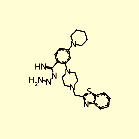 N=C(/N=N\N)c1ccc(N2CCCCC2)cc1N1CCN(Cc2nc3ccccc3s2)CC1